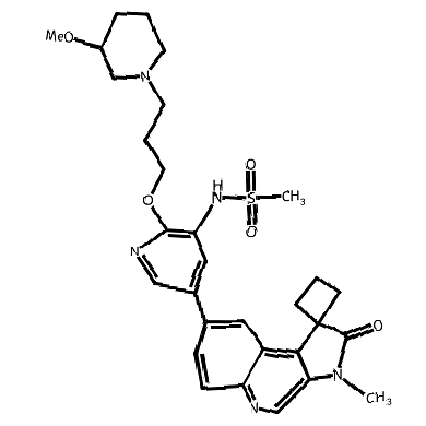 COC1CCCN(CCCOc2ncc(-c3ccc4ncc5c(c4c3)C3(CCC3)C(=O)N5C)cc2NS(C)(=O)=O)C1